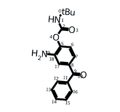 CC(C)(C)NC(=O)Oc1ccc(C(=O)c2ccccc2)cc1N